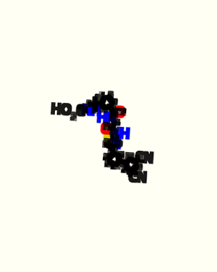 CC(C)(CNC(=O)O)c1cccc(C(=O)NCC(=O)Nc2nc(-c3cccc(-c4cc(C#N)cc(C#N)c4)c3)cs2)c1